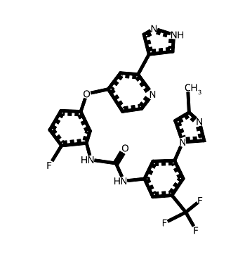 Cc1cn(-c2cc(NC(=O)Nc3cc(Oc4ccnc(-c5cn[nH]c5)c4)ccc3F)cc(C(F)(F)F)c2)cn1